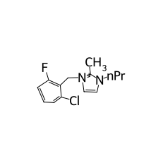 CCCn1cc[n+](Cc2c(F)cccc2Cl)c1C